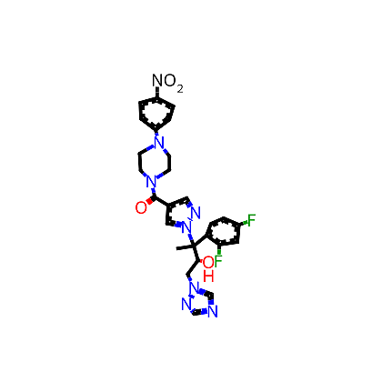 CC(c1ccc(F)cc1F)(C(O)Cn1cncn1)n1cc(C(=O)N2CCN(c3ccc([N+](=O)[O-])cc3)CC2)cn1